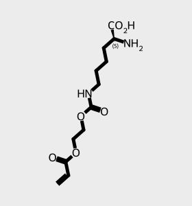 C=CC(=O)OCCOC(=O)NCCCC[C@H](N)C(=O)O